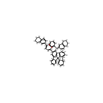 c1ccc(N(c2ccc3c(c2)CCCC3)c2cc3c(cc2-c2ccc(-c4ccc5c(c4)CCCC5)cc2)-c2ccccc2C32c3ccccc3-c3ccccc32)cc1